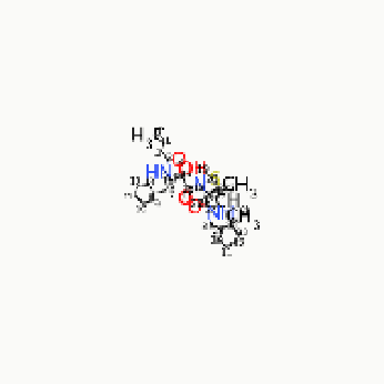 CCCC(=O)N[C@@H](Cc1ccccc1)[C@H](O)C(=O)N1CSC(C)(C)[C@H]1C(=O)NCc1ccccc1C